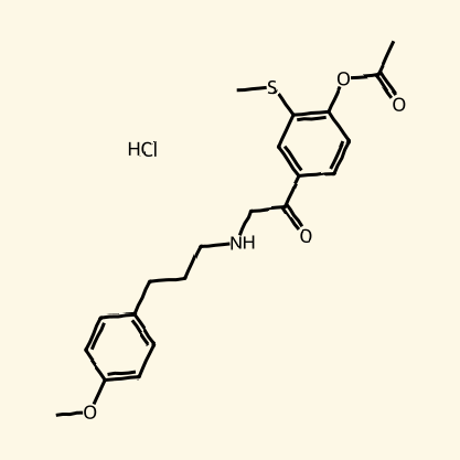 COc1ccc(CCCNCC(=O)c2ccc(OC(C)=O)c(SC)c2)cc1.Cl